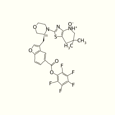 CC1(C)Cc2sc(N3CCOC[C@@H]3Cc3coc4ccc(C(=O)Oc5c(F)c(F)c(F)c(F)c5F)cc34)nc2[NH+]([O-])C1